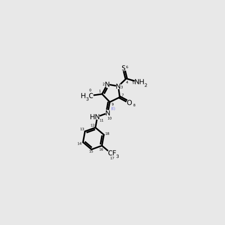 CC1=NN(C(N)=S)C(=O)/C1=N/Nc1cccc(C(F)(F)F)c1